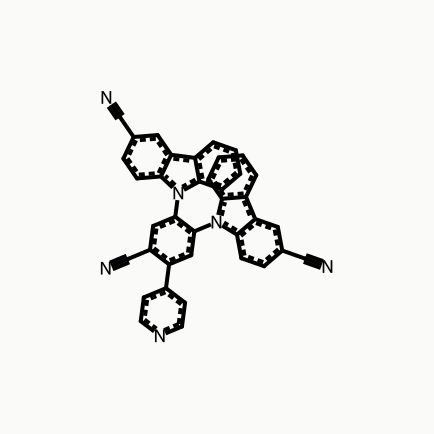 N#Cc1ccc2c(c1)c1ccccc1n2-c1cc(C#N)c(-c2ccncc2)cc1-n1c2ccccc2c2cc(C#N)ccc21